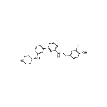 Oc1ccc(CCNc2nccc(-c3cccc(NC4CCNCC4)c3)n2)cc1Cl